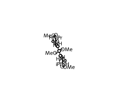 COCc1cc(-c2ccc3[nH]c([C@@H]4CCCN4C(=O)[C@@H](NC(=O)OC)C(C)C)nc3c2)c(COC)cc1-c1ccc2[nH]c(C3CCCN3C(=O)[C@@H](NC(=O)OC)C(C)C)nc2c1